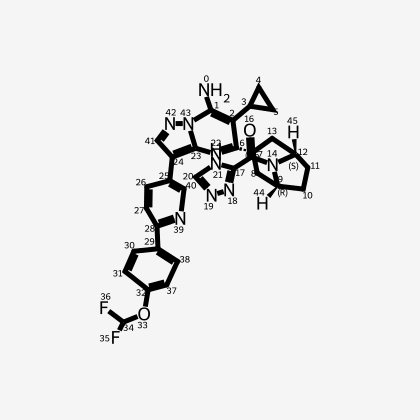 Nc1c(C2CC2)c([C@H]2C[C@H]3CC[C@@H](C2)N3C(=O)c2nnc[nH]2)nc2c(-c3ccc(-c4ccc(OC(F)F)cc4)nc3)cnn12